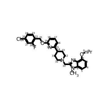 CCCOc1cccc2c1nc(CN1CCC(c3cccc(OCc4ccc(Cl)cc4F)n3)CC1)n2C